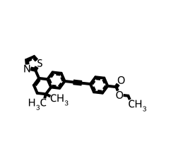 CCOC(=O)c1ccc(C#Cc2ccc3c(c2)C(C)(C)CC=C3c2nccs2)cc1